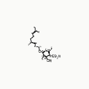 CC(C)=CCC/C(C)=C/CCOc1cc(C)c(C(=O)O)c(O)c1C